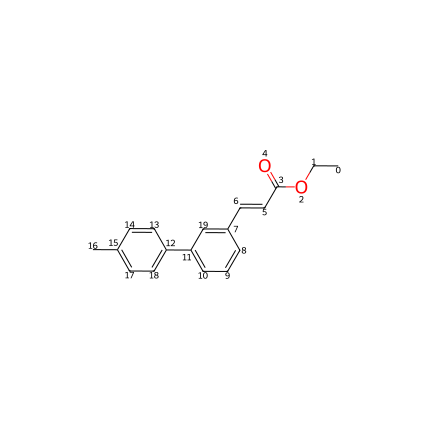 CCOC(=O)/C=C/c1cccc(-c2ccc(C)cc2)c1